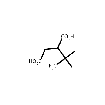 CC(I)(C(CC(=O)O)C(=O)O)C(F)(F)F